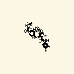 Cc1nnc(C(=O)N2CC[C@H]3COc4c(cn(C)c4C(=O)Nc4ccc(F)c(C)c4)S(=O)(=O)N[C@H]3C2)o1